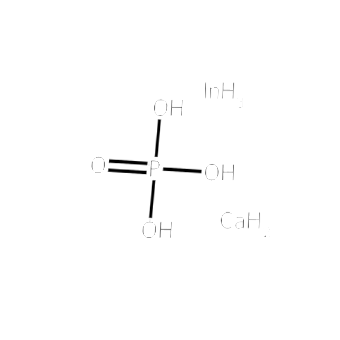 O=P(O)(O)O.[CaH2].[InH3]